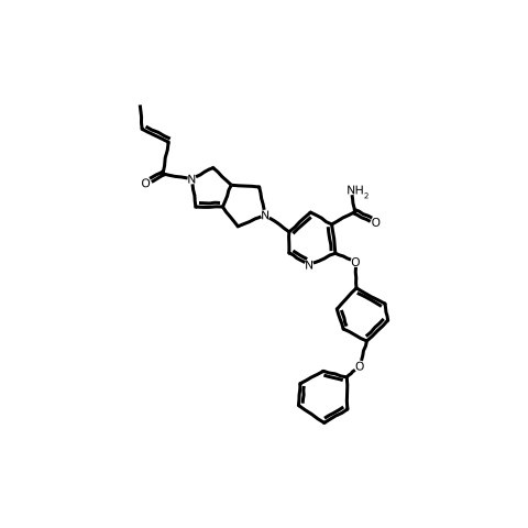 CC=CC(=O)N1C=C2CN(c3cnc(Oc4ccc(Oc5ccccc5)cc4)c(C(N)=O)c3)CC2C1